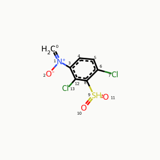 C=[N+]([O-])c1ccc(Cl)c([SH](=O)=O)c1Cl